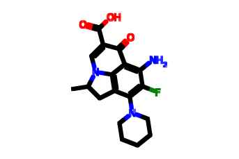 CC1Cc2c(N3CCCCC3)c(F)c(N)c3c(=O)c(C(=O)O)cn1c23